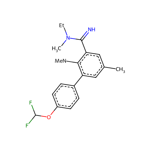 CCN(C)C(=N)c1cc(C)cc(-c2ccc(OC(F)F)cc2)c1NC